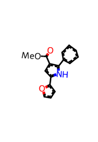 COC(=O)c1cc(-c2ccco2)[nH]c1-c1ccccc1